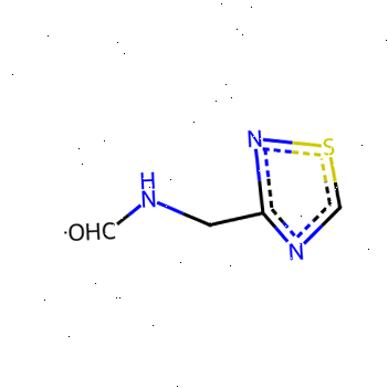 O=[C]NCc1ncsn1